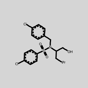 CC(C)CC(CO)N(Cc1ccc(Cl)cc1)S(=O)(=O)c1ccc(Cl)cc1